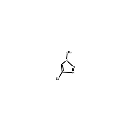 CCCCn1cc(CC)nn1